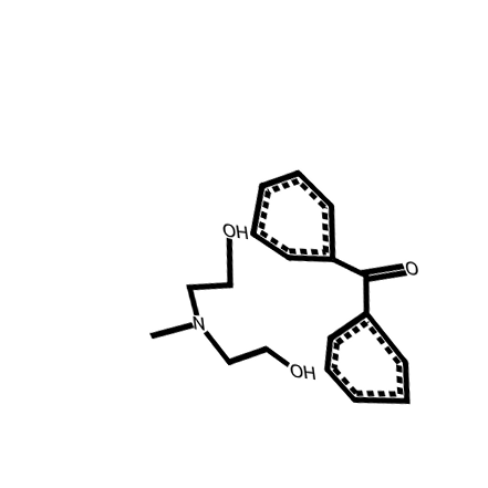 CN(CCO)CCO.O=C(c1ccccc1)c1ccccc1